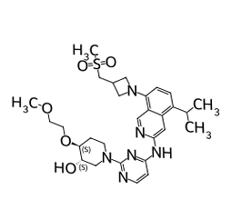 COCCO[C@H]1CCN(c2nccc(Nc3cc4c(C(C)C)ccc(N5CC(CS(C)(=O)=O)C5)c4cn3)n2)C[C@@H]1O